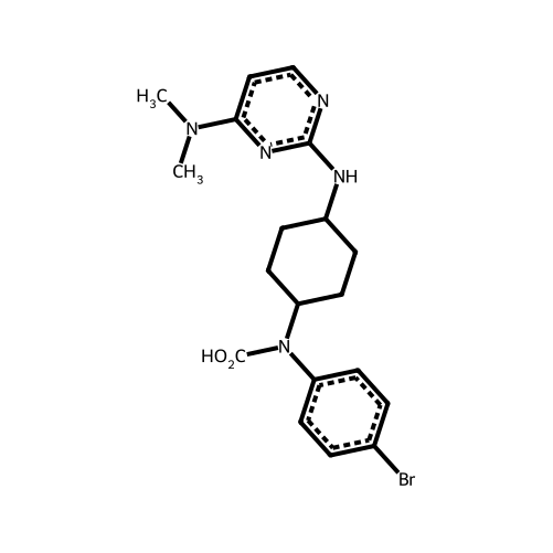 CN(C)c1ccnc(NC2CCC(N(C(=O)O)c3ccc(Br)cc3)CC2)n1